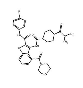 CN(C)C(=O)[C@H]1CC[C@H](C(=O)Nc2c(C(=O)Nc3ccc(Cl)cn3)oc3cccc(C(=O)N4CCOCC4)c23)CC1